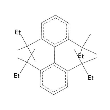 CCC(C)(C)c1cccc(C(C)(C)CC)c1-c1c(C(C)(C)CC)cccc1C(C)(C)CC